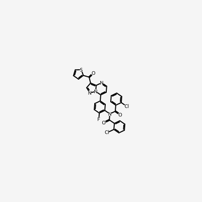 O=C(c1cccs1)c1cnn2c(-c3ccc(F)c(N(C(=O)c4ccccc4Cl)C(=O)c4ccccc4Cl)c3)ccnc12